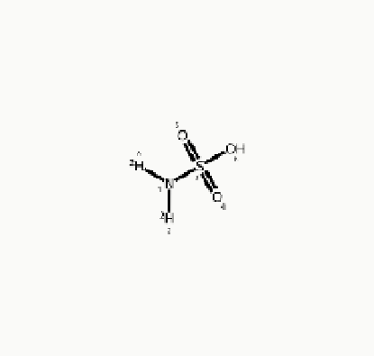 [2H]N([2H])S(=O)(=O)O